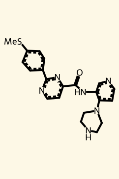 CSc1ccc(-c2nccc(C(=O)Nc3cnccc3N3CCNCC3)n2)cc1